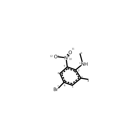 CNc1c(C)cc(Br)cc1[N+](=O)[O-]